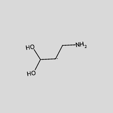 NC[CH]C(O)O